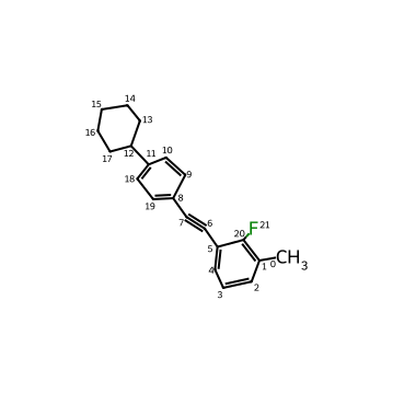 Cc1cccc(C#Cc2ccc(C3CCCCC3)cc2)c1F